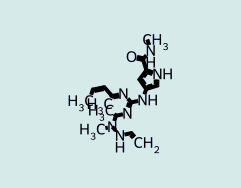 C=CNN(C)C(C)\N=C(/N=C(C)/C=C\C)Nc1c[nH]c(C(=O)NC)c1